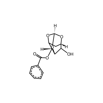 O=C(O[C@@H]1C2C[C@@H]3O[C@H](O2)OC1C3O)c1ccccc1